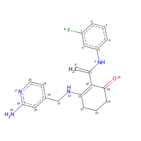 C=C(Nc1cccc(F)c1)C1=C(NCc2ccnc(N)c2)CCCC1=O